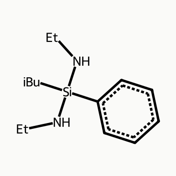 CCN[Si](NCC)(c1ccccc1)C(C)CC